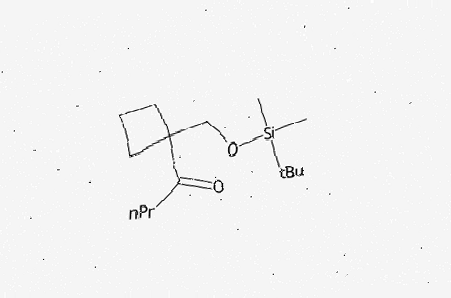 CCCC(=O)C1(CO[Si](C)(C)C(C)(C)C)CCC1